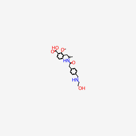 COc1c(C[C@@H](C)NC(=O)Cc2ccc(CNCCO)cc2)cccc1C(=O)O